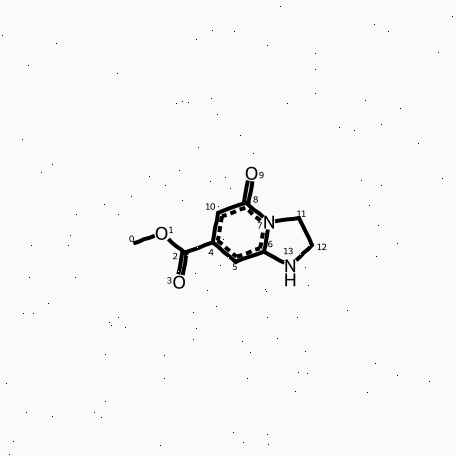 COC(=O)c1cc2n(c(=O)c1)CCN2